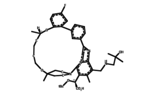 Cc1c([C@H](OC(C)(C)C)C(=O)O)c2n3cc(nc3c1CNCC(C)(C)O)-c1cccc(c1)-c1cc(F)ccc1O[C@@H](C)CCCCOC1(C)CCN2CC1